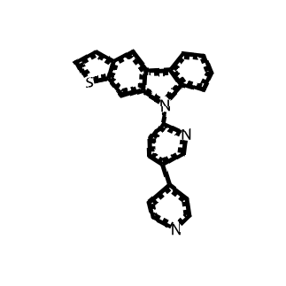 c1ccc2c(c1)c1cc3ccsc3cc1n2-c1ccc(-c2ccncc2)cn1